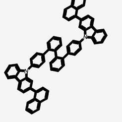 c1ccc(-c2ccccc2-c2ccc(-n3c4ccccc4c4ccc(-c5cccc6ccccc56)cc43)cc2)c(-c2ccc(-n3c4ccccc4c4ccc(-c5cccc6ccccc56)cc43)cc2)c1